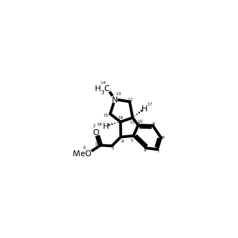 COC(=O)CC1c2ccccc2[C@@H]2CN(C)C[C@H]12